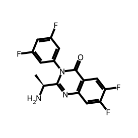 C[C@H](N)c1nc2cc(F)c(F)cc2c(=O)n1-c1cc(F)cc(F)c1